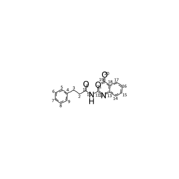 O=C(CCc1ccccc1)Nc1nc2ccccc2c(=O)o1